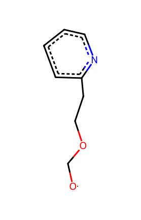 [O]COCCc1ccccn1